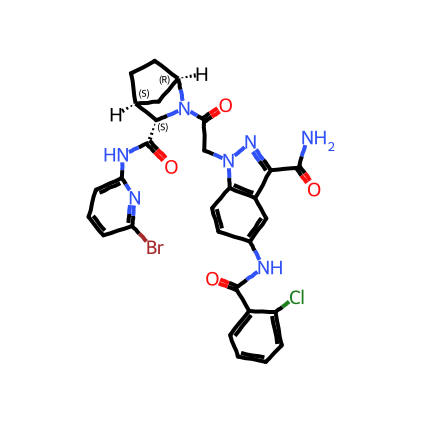 NC(=O)c1nn(CC(=O)N2[C@@H]3CC[C@@H](C3)[C@H]2C(=O)Nc2cccc(Br)n2)c2ccc(NC(=O)c3ccccc3Cl)cc12